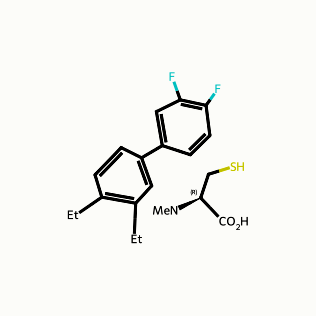 CCc1ccc(-c2ccc(F)c(F)c2)cc1CC.CN[C@@H](CS)C(=O)O